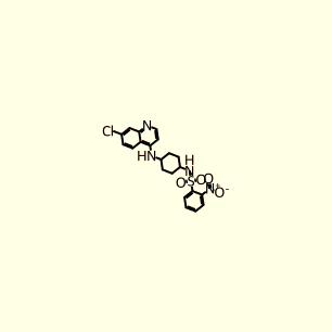 O=[N+]([O-])c1ccccc1S(=O)(=O)NC1CCC(Nc2ccnc3cc(Cl)ccc23)CC1